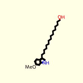 COc1ccc2c(CCCCCCCCCCCCCCCCO)c[nH]c2c1